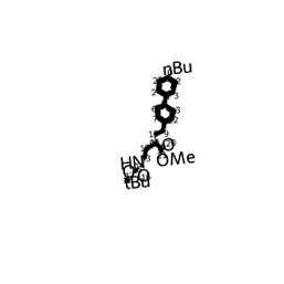 CCCCc1ccc(-c2ccc(CC[C@@H](CCNC(=O)OC(C)(C)C)C(=O)OC)cc2)cc1